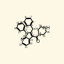 O=C(c1c(Cc2ccccc2)n(-c2ccccc2)c2ncccc12)N1CCNCC1